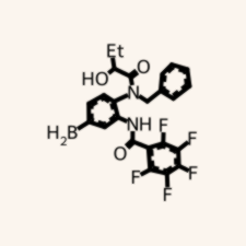 Bc1ccc(N(Cc2ccccc2)C(=O)C(O)CC)c(NC(=O)c2c(F)c(F)c(F)c(F)c2F)c1